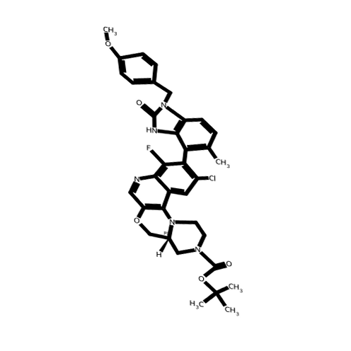 COc1ccc(Cn2c(=O)[nH]c3c(-c4c(Cl)cc5c6c(cnc5c4F)OC[C@H]4CN(C(=O)OC(C)(C)C)CCN64)c(C)ccc32)cc1